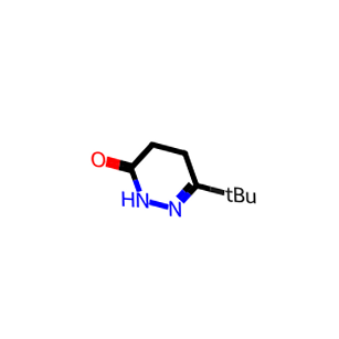 CC(C)(C)C1=NNC(=O)CC1